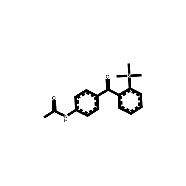 CC(=O)Nc1ccc(C(=O)c2ccccc2[Si](C)(C)C)cc1